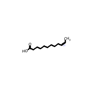 C/C=C\CCCCCCCCC(=O)O